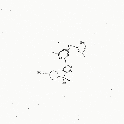 Cc1cc(Nc2cc(C)ccn2)cc(-c2cnc([C@](C)(O)[C@H]3CC[C@H](C(=O)O)CC3)s2)c1